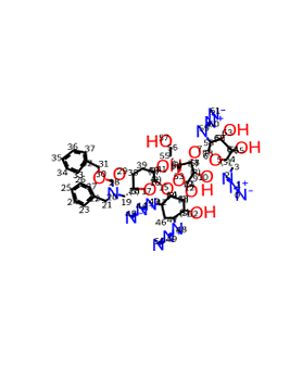 [N-]=[N+]=NC[C@@H]1O[C@H](O[C@H]2[C@@H](O)[C@H](O[C@H]3[C@H](O[C@H]4O[C@H](CN(Cc5ccccc5)C(=O)OCc5ccccc5)CC[C@H]4O)C(N=[N+]=[N-])CC(N=[N+]=[N-])[C@@H]3O)O[C@@H]2CCO)C(N=[N+]=[N-])[C@@H](O)[C@@H]1O